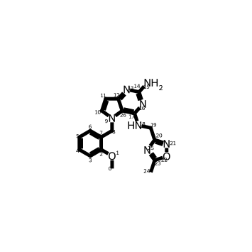 COc1ccccc1Cn1ccc2nc(N)nc(NCc3noc(C)n3)c21